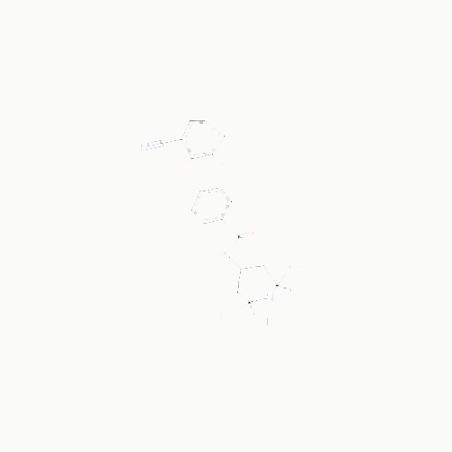 CC1(C)CC(NC(=O)c2ccc(Oc3c(F)cccc3C#N)cc2)CC(C)(C)N1